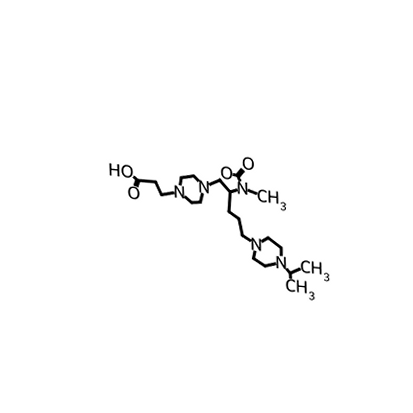 CC(C)N1CCN(CCCC2C(N3CCN(CCC(=O)O)CC3)OC(=O)N2C)CC1